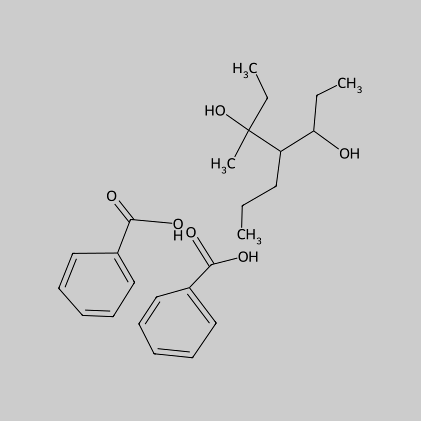 CCCC(C(O)CC)C(C)(O)CC.O=C(O)c1ccccc1.O=C(O)c1ccccc1